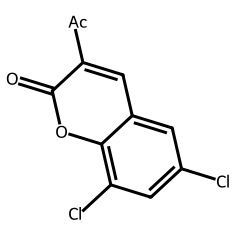 CC(=O)c1cc2cc(Cl)cc(Cl)c2oc1=O